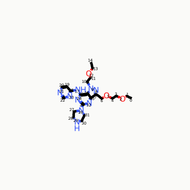 CCOCCOCc1nn(CCOCC)c2c(Nc3ccncn3)nc(N3CCNCC3)nc12